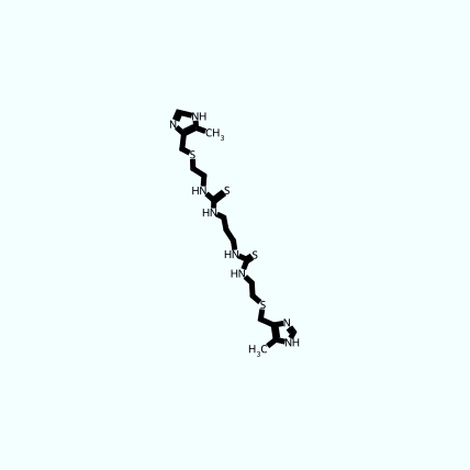 Cc1[nH]cnc1CSCCNC(=S)NCCCNC(=S)NCCSCc1nc[nH]c1C